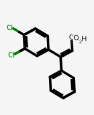 O=C(O)C=C(c1ccccc1)c1ccc(Cl)c(Cl)c1